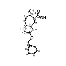 C[C@H]1C=CC(O)[C@H](NC(=O)OCc2ccccc2)CN1C(=O)O